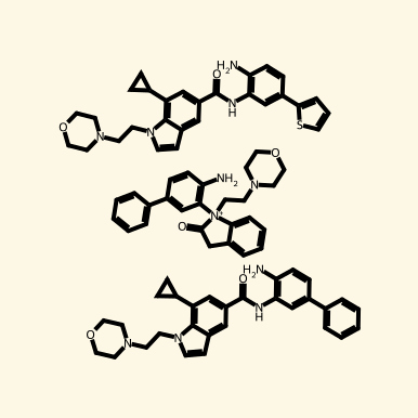 Nc1ccc(-c2ccccc2)cc1NC(=O)c1cc(C2CC2)c2c(ccn2CCN2CCOCC2)c1.Nc1ccc(-c2ccccc2)cc1[N+]1(CCN2CCOCC2)C(=O)Cc2ccccc21.Nc1ccc(-c2cccs2)cc1NC(=O)c1cc(C2CC2)c2c(ccn2CCN2CCOCC2)c1